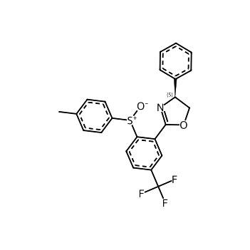 Cc1ccc([S+]([O-])c2ccc(C(F)(F)F)cc2C2=N[C@@H](c3ccccc3)CO2)cc1